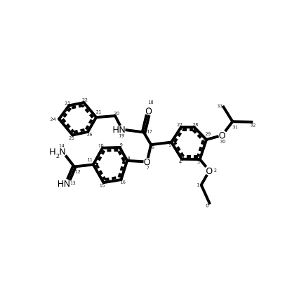 CCOc1cc(C(Oc2ccc(C(=N)N)cc2)C(=O)NCc2ccccc2)ccc1OC(C)C